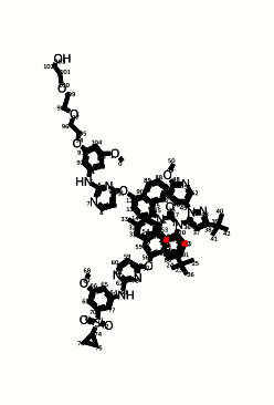 COc1cc(Nc2nccc(Oc3ccc(N(C(=O)N(c4cc(C(C)(C)C)nn4-c4ccc(C)cc4)c4cc(C(C)(C)C)nn4-c4ccc(OC)nc4)c4ccc(Oc5ccnc(Nc6cc(OC)cc(S(=O)(=O)C7CC7)c6)n5)c5ccccc45)c4ccccc34)n2)cc(OCCOCCOCCO)c1